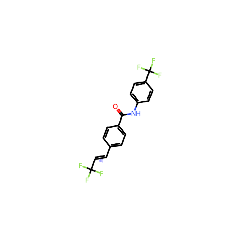 O=C(Nc1ccc(C(F)(F)F)cc1)c1ccc(/C=C/C(F)(F)F)cc1